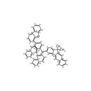 CC1(C)c2ccc(N(c3ccc(-c4cccc5c4oc4ccccc45)cc3)c3ccc4ccccc4c3-c3cccc4ccccc34)cc2-c2cc3ccccc3cc21